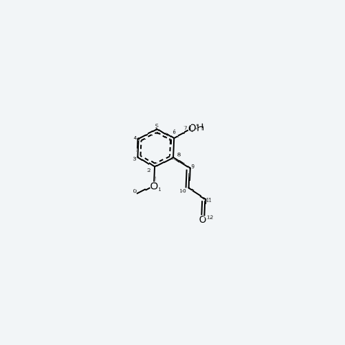 COc1cccc(O)c1C=CC=O